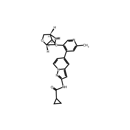 Cc1cc(-c2ccn3nc(NC(=O)C4CC4)cc3c2)c(O[C@@H]2[C@@H]3CO[C@H]2CN3)cn1